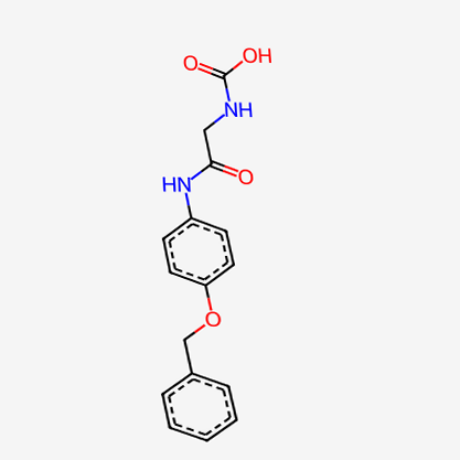 O=C(O)NCC(=O)Nc1ccc(OCc2ccccc2)cc1